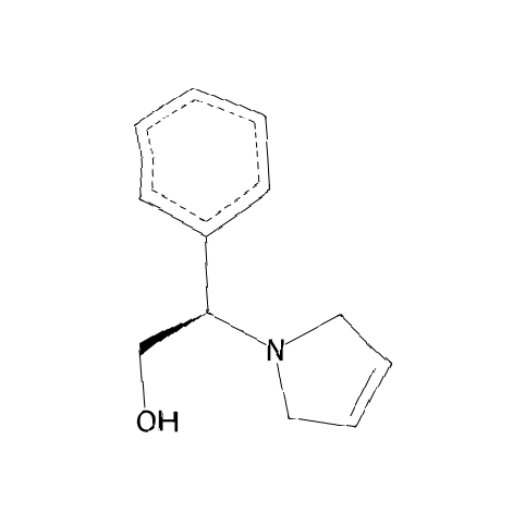 OC[C@@H](c1ccccc1)N1CC=CC1